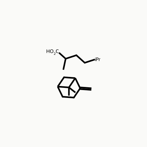 C=C1CCC2CC1C2(C)C.CC(C)CCC(C)C(=O)O